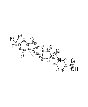 Cc1cc(C(F)(F)F)cc2c1cc(Cc1c(Cl)ccc(C(=O)N3CCCC(C(=O)O)C3)c1Cl)n2C